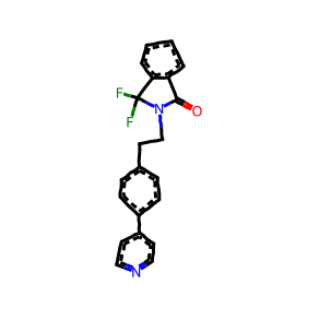 O=C1c2ccccc2C(F)(F)N1CCc1ccc(-c2ccncc2)cc1